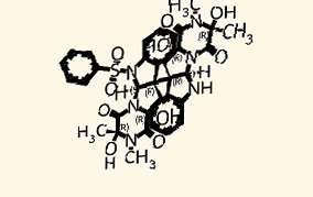 CN1C(=O)[C@]2(O)C[C@]3([C@]45C[C@@]6(O)C(=O)N(C)[C@](C)(O)C(=O)N6[C@H]4N(S(=O)(=O)c4ccccc4)c4ccccc45)c4ccccc4N[C@@H]3N2C(=O)[C@@]1(C)O